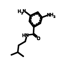 CC(C)CCNC(=O)c1cc(N)cc(N)c1